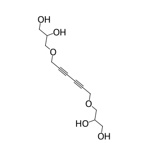 OCC(O)COCC#CC#CCOCC(O)CO